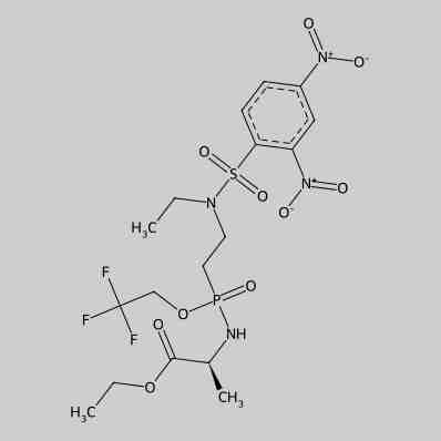 CCOC(=O)[C@H](C)NP(=O)(CCN(CC)S(=O)(=O)c1ccc([N+](=O)[O-])cc1[N+](=O)[O-])OCC(F)(F)F